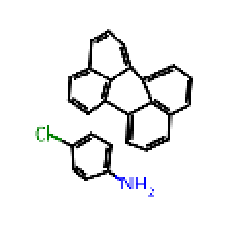 Nc1ccc(Cl)cc1.c1cc2cccc3c4cccc5cccc(c(c1)c23)c54